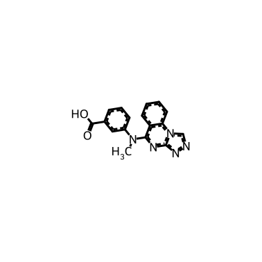 CN(c1cccc(C(=O)O)c1)c1nc2nncn2c2ccccc12